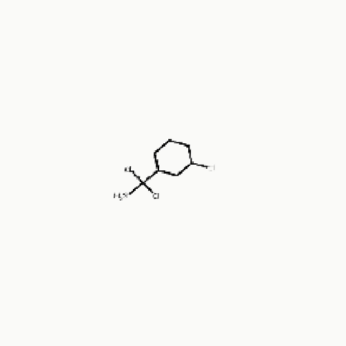 [SiH3]C(Cl)(Cl)C1CCCC(Cl)C1